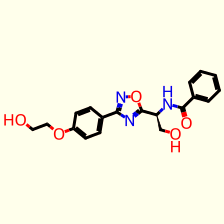 O=C(N[C@@H](CO)c1nc(-c2ccc(OCCO)cc2)no1)c1ccccc1